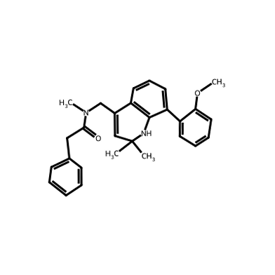 COc1ccccc1-c1cccc2c1NC(C)(C)C=C2CN(C)C(=O)Cc1ccccc1